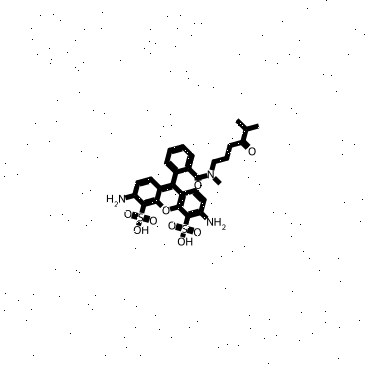 CC(C)C(=O)CCCN(C)C(=O)c1ccccc1C1=C2C=CC(N)C(S(=O)(=O)O)=C2Oc2c1ccc(N)c2S(=O)(=O)O